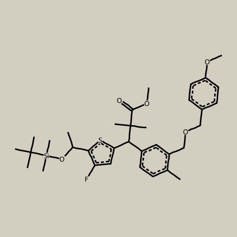 COC(=O)C(C)(C)C(c1ccc(C)c(COCc2ccc(OC)cc2)c1)c1cc(F)c(C(C)O[Si](C)(C)C(C)(C)C)s1